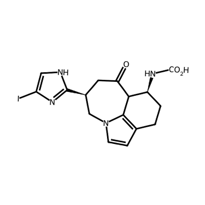 O=C(O)N[C@H]1CCc2ccn3c2C1C(=O)C[C@H](c1nc(I)c[nH]1)C3